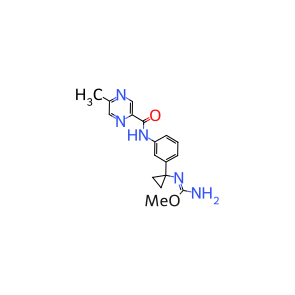 CO/C(N)=N\C1(c2cccc(NC(=O)c3cnc(C)cn3)c2)CC1